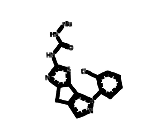 CCCCNC(=O)Nc1nc2c(s1)-c1c(cnn1-c1ccccc1Cl)C2